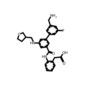 NCc1cc(F)cc(-c2cc(NCC3CCOC3)cc(C(=O)Nc3ccccc3CC(=O)O)c2)c1